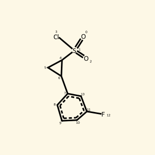 O=S(=O)(Cl)C1CC1c1cccc(F)c1